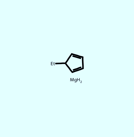 [CH2]CC1C=CC=C1.[MgH2]